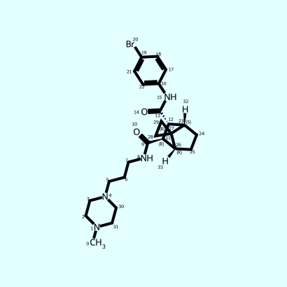 CN1CCN(CCCNC(=O)[C@H]2[C@H](C(=O)Nc3ccc(Br)cc3)[C@@H]3CC[C@H]2C32CC2)CC1